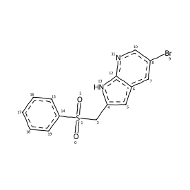 O=S(=O)(Cc1cc2cc(Br)cnc2[nH]1)c1ccccc1